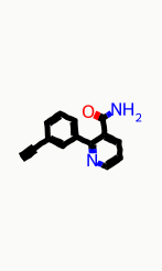 C#Cc1cccc(-c2ncccc2C(N)=O)c1